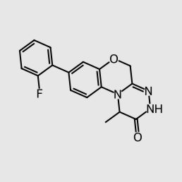 CC1C(=O)NN=C2COc3cc(-c4ccccc4F)ccc3N21